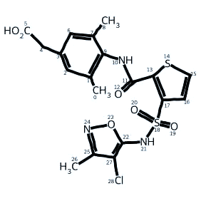 Cc1cc(CC(=O)O)cc(C)c1NC(=O)c1sccc1S(=O)(=O)Nc1onc(C)c1Cl